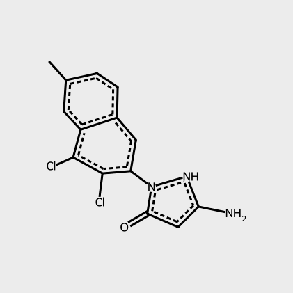 Cc1ccc2cc(-n3[nH]c(N)cc3=O)c(Cl)c(Cl)c2c1